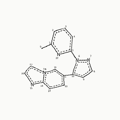 Cc1cccc(-n2nccc2-c2ccc3nccn3c2)n1